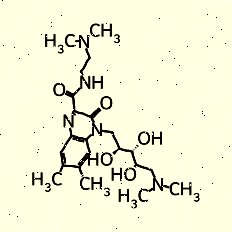 Cc1cc2nc(C(=O)NCCN(C)C)c(=O)n(C[C@H](O)[C@H](O)[C@H](O)CN(C)C)c2cc1C